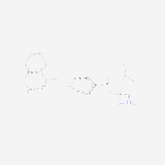 Cc1cc(COc2ccc(C(=O)NC3(CC(=O)NO)CN(C)C3)cc2)c2ccccc2n1